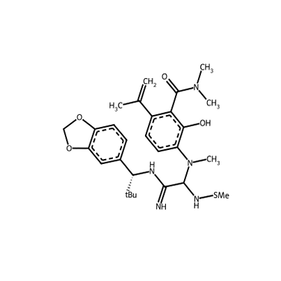 C=C(C)c1ccc(N(C)C(NSC)C(=N)N[C@@H](c2ccc3c(c2)OCO3)C(C)(C)C)c(O)c1C(=O)N(C)C